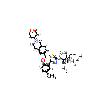 Cc1ccc(OCc2ccc3c(c2)CCN(C2CCOCC2)C3)c(-c2csc(N3CC[C@@](C)(C(=O)O)C3C)n2)c1